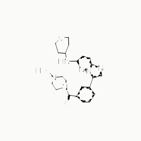 CN1CCN(C(=O)c2cccc(-c3cnc4ccc(NC5CCOCC5)nn34)c2)CC1